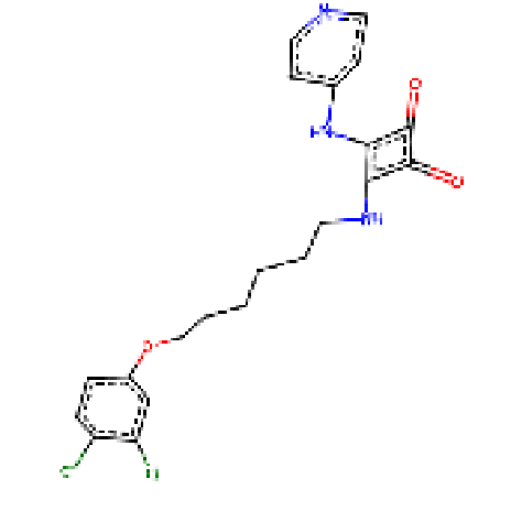 O=c1c(NCCCCCCOc2ccc(Cl)c(Cl)c2)c(Nc2ccncc2)c1=O